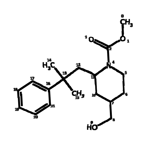 COC(=O)N1CCC(CO)CC1CC(C)(C)c1ccccc1